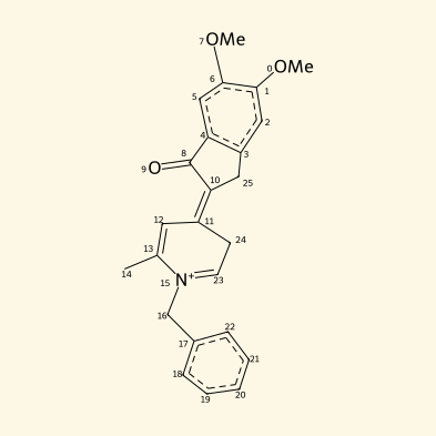 COc1cc2c(cc1OC)C(=O)C(=C1C=C(C)[N+](Cc3ccccc3)=CC1)C2